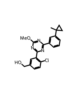 COc1nc(-c2cccc(C3(C)CC3)c2)nc(-c2cc(CO)ccc2Cl)n1